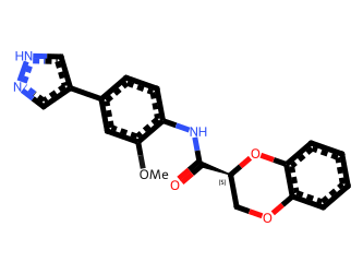 COc1cc(-c2cn[nH]c2)ccc1NC(=O)[C@@H]1COc2ccccc2O1